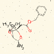 B[C@@H]1O[C@]2(CC(=O)OCc3ccccc3)[C@H](C)C1OC2(C)C